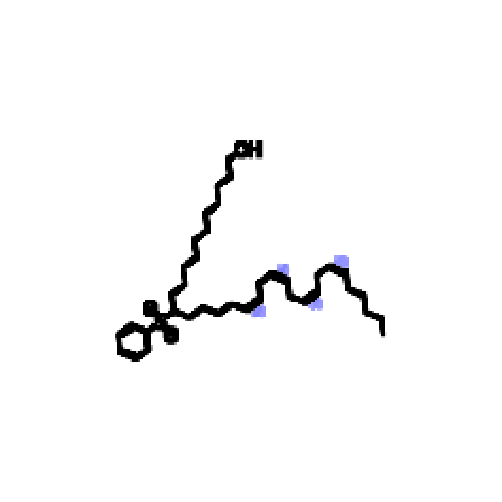 CCCCC/C=C\C/C=C\C/C=C\C/C=C\CCCCC(CCCCCCCCCCCO)S(=O)(=O)c1ccccc1